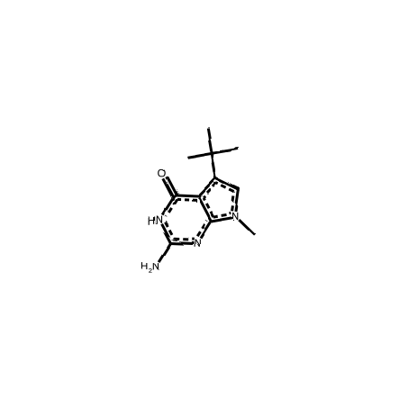 Cn1cc(C(C)(C)C)c2c(=O)[nH]c(N)nc21